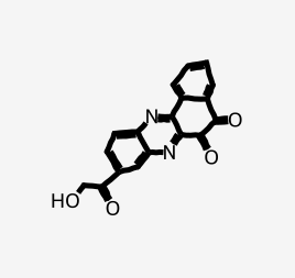 O=C(CO)c1ccc2nc3c(nc2c1)C(=O)C(=O)c1ccccc1-3